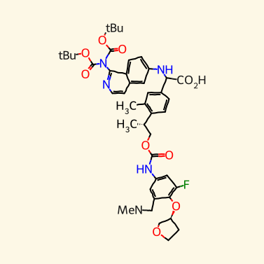 CNCc1cc(NC(=O)OC[C@H](C)c2ccc(C(Nc3ccc4c(N(C(=O)OC(C)(C)C)C(=O)OC(C)(C)C)nccc4c3)C(=O)O)cc2C)cc(F)c1O[C@H]1CCOC1